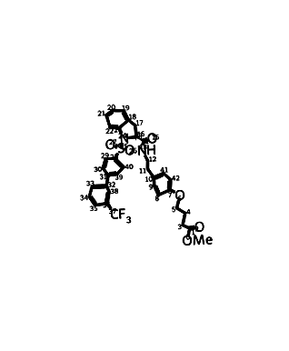 COC(=O)CCCOc1ccc(CCNC(=O)[C@@H]2Cc3ccccc3N2S(=O)(=O)c2ccc(-c3cccc(C(F)(F)F)c3)cc2)cc1